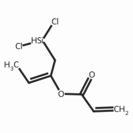 C=CC(=O)OC(=CC)C[SiH](Cl)Cl